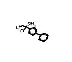 [SiH3]C(Cl)(CCl)c1ccc(-c2ccccc2)cc1